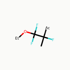 CCOC(F)(F)C(C)(F)C(C)=O